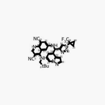 CC(C)(C)CNc1c(C#N)cnc2c(C#N)cc(NC(c3cn(C4(C(F)(F)F)CC4)nn3)c3cccn4nccc34)cc12